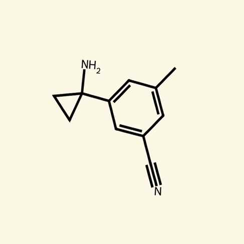 Cc1cc(C#N)cc(C2(N)CC2)c1